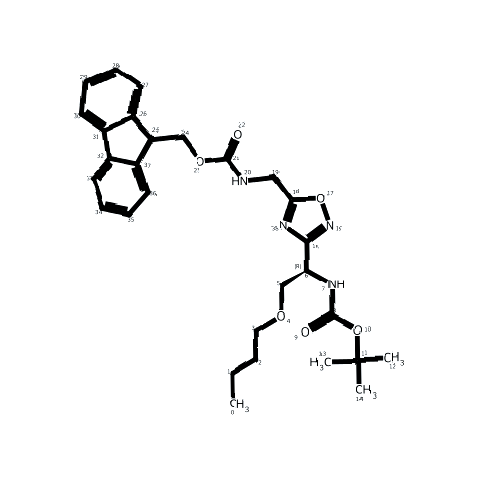 CCCCOC[C@H](NC(=O)OC(C)(C)C)c1noc(CNC(=O)OCC2c3ccccc3-c3ccccc32)n1